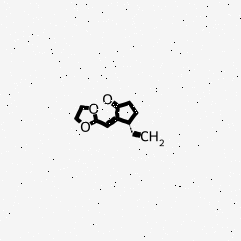 C=C[C@H]1CCC(=O)/C1=C\C1OCCO1